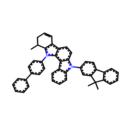 CC1CC=Cc2c1n(-c1ccc(-c3ccccc3)cc1)c1c2ccc2c1c1ccccc1n2-c1ccc2c(c1)C(C)(C)c1ccccc1-2